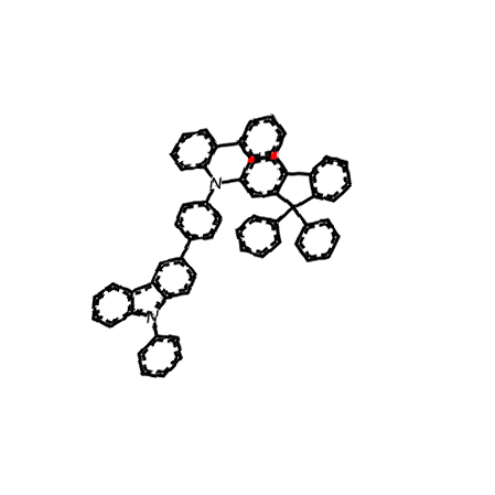 c1ccc(-c2ccccc2N(c2ccc(-c3ccc4c(c3)c3ccccc3n4-c3ccccc3)cc2)c2ccc3c(c2)C(c2ccccc2)(c2ccccc2)c2ccccc2-3)cc1